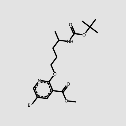 COC(=O)c1cc(Br)cnc1OCCCC(C)NC(=O)OC(C)(C)C